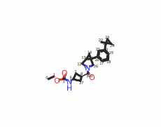 CCOC(=O)N[C@H]1C[C@@H](C(=O)N2CC3CC3(c3cccc(C4(C)CC4)c3)C2)C1